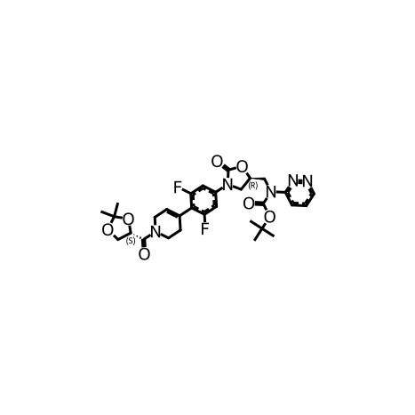 CC(C)(C)OC(=O)N(C[C@H]1CN(c2cc(F)c(C3=CCN(C(=O)[C@@H]4COC(C)(C)O4)CC3)c(F)c2)C(=O)O1)c1cccnn1